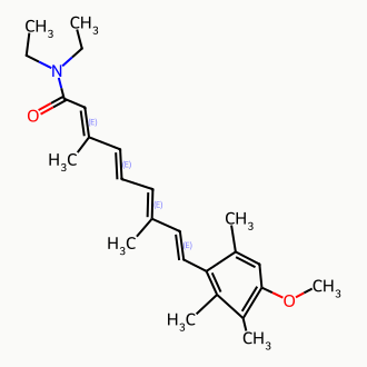 CCN(CC)C(=O)/C=C(C)/C=C/C=C(C)/C=C/c1c(C)cc(OC)c(C)c1C